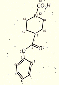 O=C(Oc1ccccn1)C1CCN(C(=O)O)CC1